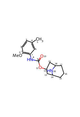 COc1ccc(C)cc1NC(=O)OC1CC2CCCC(C1)N2